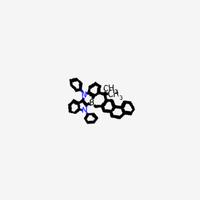 CC1(C)c2cc3c(ccc4ccccc43)cc2CB2c3c(cccc31)N(c1ccccc1)c1c2n(-c2ccccc2)c2ccccc12